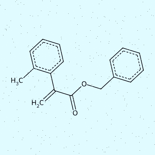 C=C(C(=O)OCc1ccccc1)c1ccccc1C